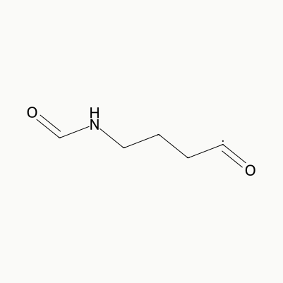 O=[C]CCCNC=O